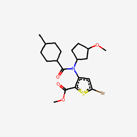 COC(=O)c1sc(Br)cc1N(C(=O)C1CCC(C)CC1)C1CCC(OC)C1